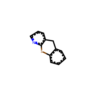 c1ccc2c(c1)Cc1cccnc1S2